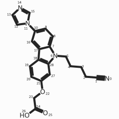 N#CCCCCn1c2ccc(-n3ccnc3)cc2c2ccc(OCC(=O)O)cc21